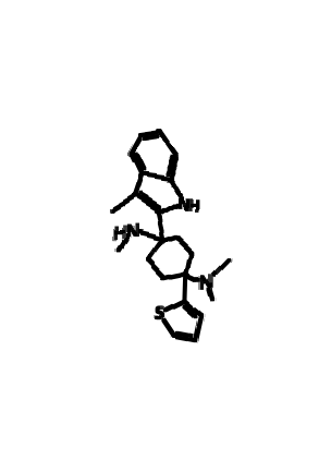 CNC1(c2[nH]c3ccccc3c2C)CCC(c2cccs2)(N(C)C)CC1